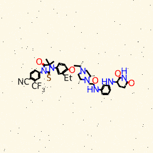 CCc1cc(N2C(=S)N(c3ccc(C#N)c(C(F)(F)F)c3)C(=O)C2(C)C)ccc1OC[C@H](C)N1C[C@@H](C)N(CC(=O)Nc2cccc(NC3CCC(=O)NC3=O)c2)[C@@H](C)C1